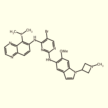 COc1cc2c(ccn2C2CN(C)C2)cc1Nc1ncc(Br)c(Nc2ccc3nccnc3c2P(C)C)n1